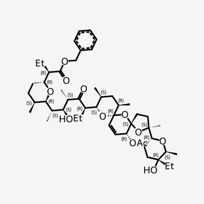 CC[C@@H](C(=O)[C@@H](C)[C@@H](O)[C@H](C)[C@@H]1O[C@@H]([C@@H](CC)C(=O)OCc2ccccc2)CC[C@@H]1C)[C@H]1O[C@]2(C=C[C@@H](OC(C)=O)[C@]3(CC[C@@](C)([C@H]4CC[C@](O)(CC)[C@H](C)O4)O3)O2)[C@H](C)C[C@@H]1C